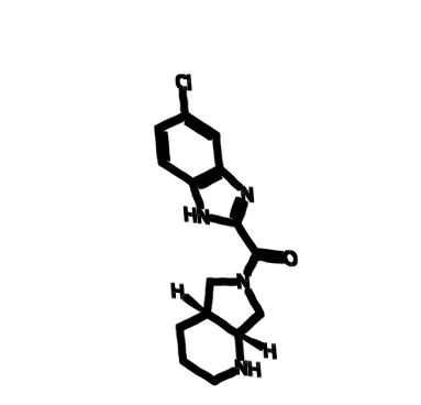 O=C(c1nc2cc(Cl)ccc2[nH]1)N1C[C@H]2CCCN[C@H]2C1